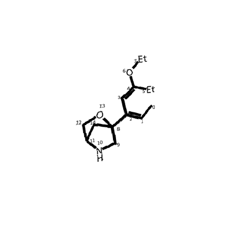 C/C=C(\C=C(/CC)OCC)C12CNC(CO1)C2